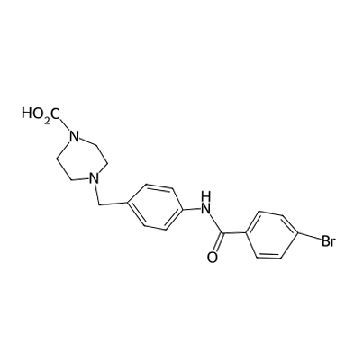 O=C(Nc1ccc(CN2CCN(C(=O)O)CC2)cc1)c1ccc(Br)cc1